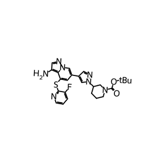 CC(C)(C)OC(=O)N1CCCC(n2cc(-c3cc(Sc4ncccc4F)c4c(N)cnn4c3)cn2)C1